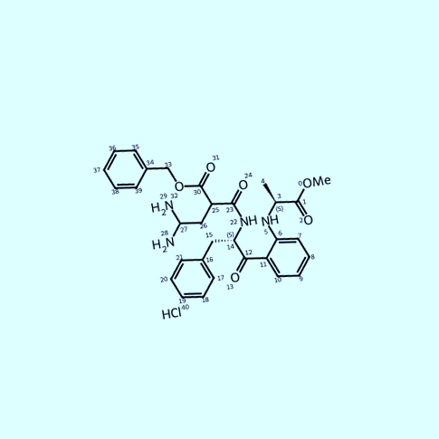 COC(=O)[C@H](C)Nc1ccccc1C(=O)[C@H](Cc1ccccc1)NC(=O)C(CC(N)N)C(=O)OCc1ccccc1.Cl